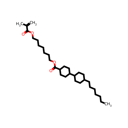 C=C(C)C(=O)OCCCCCCCOC(=O)C1CCC(C2CCC(CCCCCCC)CC2)CC1